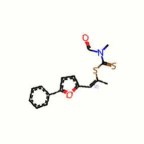 C/C(=C/c1ccc(-c2ccccc2)o1)SC(=S)N(C)C=O